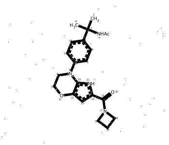 CC(=O)NC(C)(C)c1ccc(N2CCOc3cc(C(=O)N4CCC4)[nH]c32)cc1